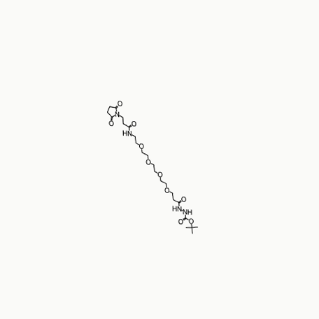 CC(C)(C)OC(=O)NNC(=O)CCOCCOCCOCCOCCNC(=O)CCN1C(=O)CCC1=O